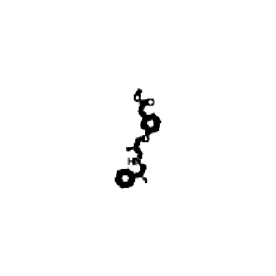 COC(=O)Cc1cccc(OC[C@H](C)CNC[C@H](C)c2ccccc2)c1